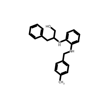 Cc1ccc(CNc2ccccc2NC(CO)Cc2ccccc2)cc1